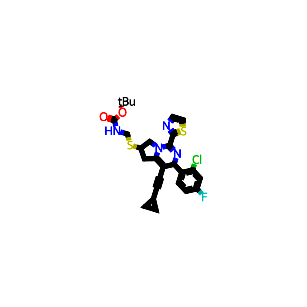 CC(C)(C)OC(=O)NCSC1CC2=C(C#CC3CC3)C(c3ccc(F)cc3Cl)N=C(c3nccs3)N2C1